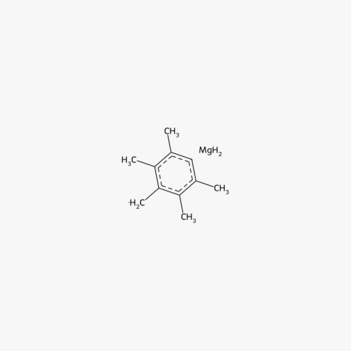 [CH2]c1c(C)c(C)cc(C)c1C.[MgH2]